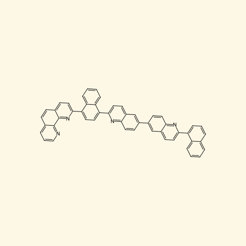 c1ccc2c(-c3ccc4cc(-c5ccc6nc(-c7ccc(-c8ccc9ccc%10cccnc%10c9n8)c8ccccc78)ccc6c5)ccc4n3)cccc2c1